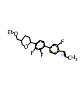 C/C=C/c1ccc(-c2ccc(C3CCC(COCC)CO3)c(F)c2F)cc1F